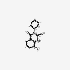 O=c1c2cccc(Cl)c2[nH]c(=S)n1-c1ccccc1